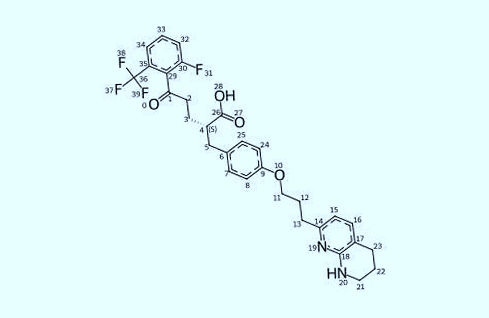 O=C(CC[C@@H](Cc1ccc(OCCCc2ccc3c(n2)NCCC3)cc1)C(=O)O)c1c(F)cccc1C(F)(F)F